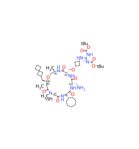 CCC[C@H]1C(=O)N[C@@H](C2CCCCCC2)C(=O)N[C@@H](CN)C(=O)N[C@@H](CO[C@H]2C[C@H](N/C(=N/C(=O)OC(C)(C)C)NC(=O)OC(C)(C)C)C2)C(=O)N[C@H](C)CO[C@H](CC2CC3(CCC3)C2)[C@@H](C)C(=O)N1C